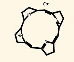 C1=C2CCC(=N2)C=C2CCC(N2)C2CCC(C=C3CCC1=N3)N2.[Co]